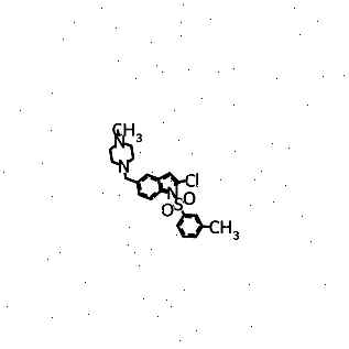 Cc1cccc(S(=O)(=O)n2c(Cl)cc3cc(CN4CCN(C)CC4)ccc32)c1